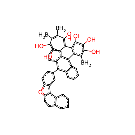 BC1=C(B)C(O)=C(c2c(O)c(O)c(O)c(B)c2-c2c3ccccc3c(-c3ccc4oc5ccc6ccccc6c5c4c3)c3ccccc23)CC(O)=C1O